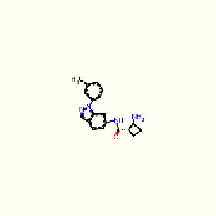 Cc1cccc(-n2ncc3ccc(NC(=O)[C@H]4CC[C@@H]4N)cc32)c1